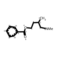 CNCC(C)CCOC(=O)c1ccccc1